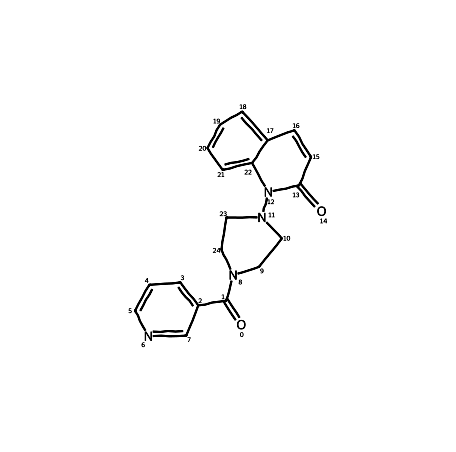 O=C(c1cccnc1)N1CCN(n2c(=O)ccc3ccccc32)CC1